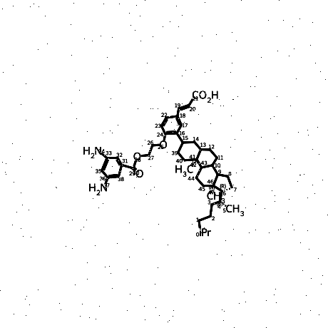 CC(C)CCC[C@@H](C)[C@H]1CCC2C3CCC4CC(c5cc(C=CC(=O)O)ccc5OCCOC(=O)c5cc(N)cc(N)c5)CC[C@]4(C)C3CC[C@@]21C